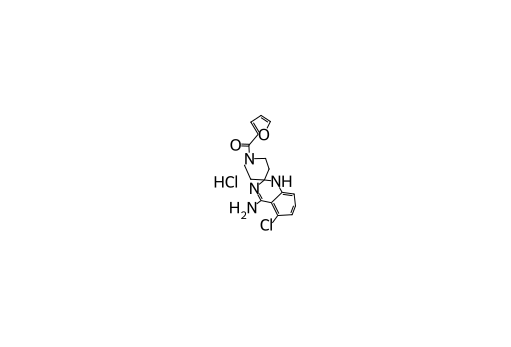 Cl.NC1=NC2(CCN(C(=O)c3ccco3)CC2)Nc2cccc(Cl)c21